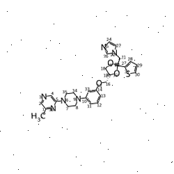 Cc1cncc(N2CCN(c3cccc(OC[C@@H]4CO[C@](Cn5ccnc5)(c5cccs5)O4)c3)CC2)n1